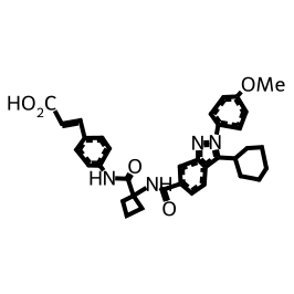 COc1ccc(-n2nc3cc(C(=O)NC4(C(=O)Nc5ccc(C=CC(=O)O)cc5)CCC4)ccc3c2C2CCCCC2)cc1